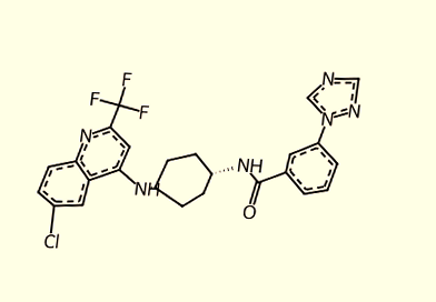 O=C(N[C@H]1CC[C@@H](Nc2cc(C(F)(F)F)nc3ccc(Cl)cc23)CC1)c1cccc(-n2cncn2)c1